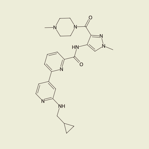 CN1CCN(C(=O)c2nn(C)cc2NC(=O)c2cccc(-c3ccnc(NCC4CC4)c3)n2)CC1